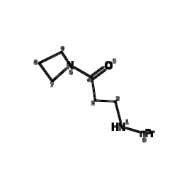 CCCNCCC(=O)N1CCC1